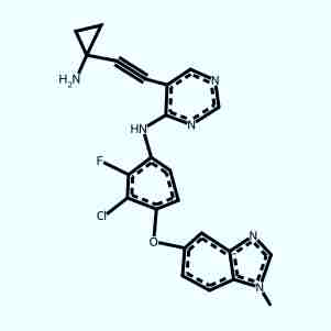 Cn1cnc2cc(Oc3ccc(Nc4ncncc4C#CC4(N)CC4)c(F)c3Cl)ccc21